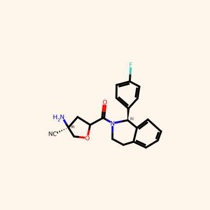 N#C[C@@]1(N)COC(C(=O)N2CCc3ccccc3[C@@H]2c2ccc(F)cc2)C1